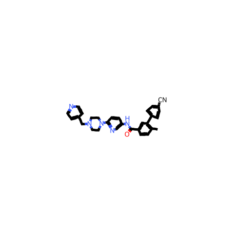 Cc1ccc(C(=O)Nc2ccc(N3CCN(Cc4ccncc4)CC3)nc2)cc1-c1ccc(C#N)cc1